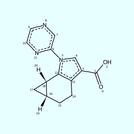 O=C(O)c1cn(-c2cnccn2)c2c1CC[C@@H]1C[C@H]21